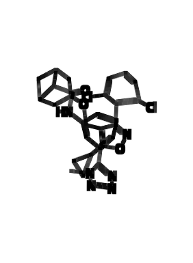 Cn1nnnc1-c1cccc(NC(=O)C2C3CC(OCc4c(-c5c(Cl)cccc5Cl)noc4C4CC4)CC2C3)c1